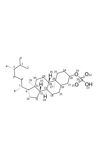 CC(C)[C@@H](C)CC[C@@H](C)[C@H]1CC[C@H]2[C@@H]3CCC4CC(OS(=O)(=O)O)CC[C@]4(C)[C@H]3CC[C@]12C